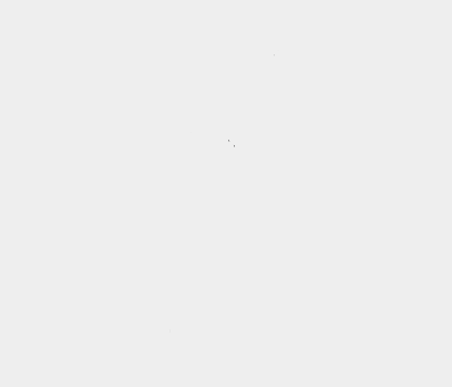 OCCC=CCN(O)CCO